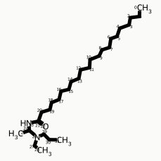 CCCCCCCCCCCCCCCCCCCCCC(=O)NC(C)N(CC)CCC